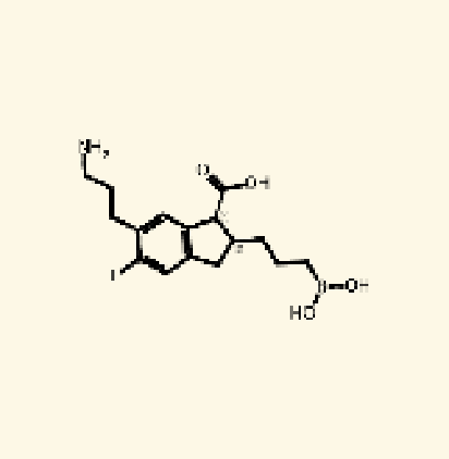 NCCCc1cc2c(cc1F)C[C@H](CCCB(O)O)[C@@H]2C(=O)O